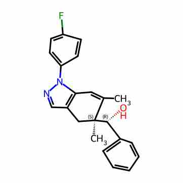 CC1=Cc2c(cnn2-c2ccc(F)cc2)C[C@]1(C)[C@H](O)c1ccccc1